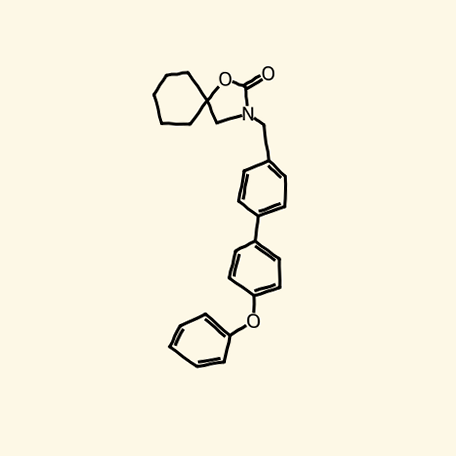 O=C1OC2(CCCCC2)CN1Cc1ccc(-c2ccc(Oc3ccccc3)cc2)cc1